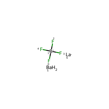 F[B-](F)(F)F.[BaH2].[La]